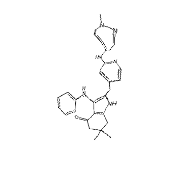 Cn1cc(Nc2cc(-c3[nH]c4c(c3Nc3ccccc3)C(=O)CC(C)(C)C4)ccn2)cn1